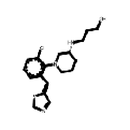 OCCCN[C@@H]1CCCN(c2c(Cl)cccc2C=C2C=NCS2)C1